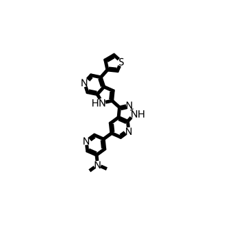 CN(C)c1cncc(-c2cnc3[nH]nc(-c4cc5c(-c6ccsc6)cncc5[nH]4)c3c2)c1